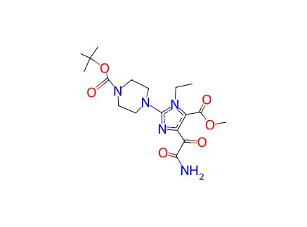 CCn1c(N2CCN(C(=O)OC(C)(C)C)CC2)nc(C(=O)C(N)=O)c1C(=O)OC